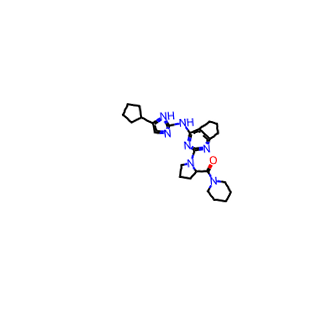 O=C(C1CCCN1c1nc2c(c(Nc3ncc(C4CCCC4)[nH]3)n1)CCC2)N1CCCCC1